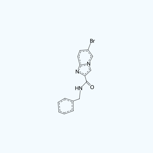 O=C(NCc1ccccc1)c1cn2cc(Br)ccc2n1